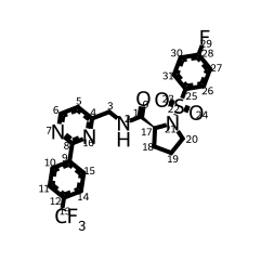 O=C(NCc1ccnc(-c2ccc(C(F)(F)F)cc2)n1)[C@@H]1CCCN1S(=O)(=O)c1ccc(F)cc1